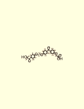 CC(C)(O)C(=O)c1ccc(OCCOc2ccc(C(=O)c3ccc(OCC(=O)O)cc3)cc2)cc1